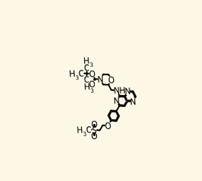 CC(C)(C)OC(=O)N1CCOC(CNc2nc(-c3ccc(OCCS(C)(=O)=O)cc3)cc3nccnc23)C1